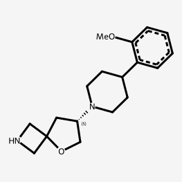 COc1ccccc1C1CCN([C@@H]2COC3(CNC3)C2)CC1